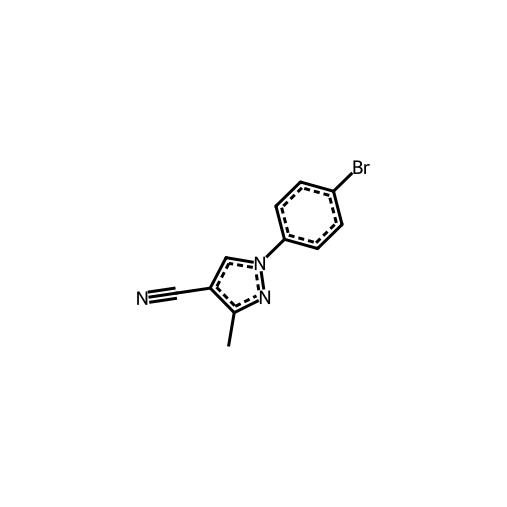 Cc1nn(-c2ccc(Br)cc2)cc1C#N